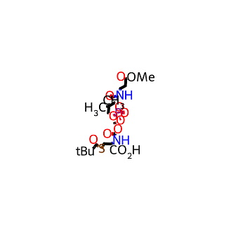 COC(=O)CCNC(=O)[C@@H]1O[P@@](=O)(OCOC(=O)NC(CSC(=O)C(C)(C)C)C(=O)O)OCC1(C)C